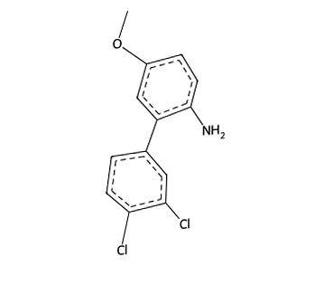 COc1ccc(N)c(-c2ccc(Cl)c(Cl)c2)c1